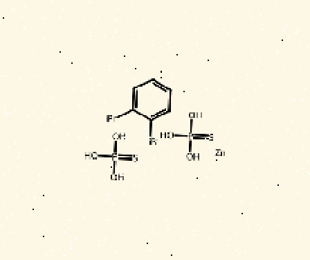 CC(C)c1ccccc1C(C)C.OP(O)(O)=S.OP(O)(O)=S.[Zn]